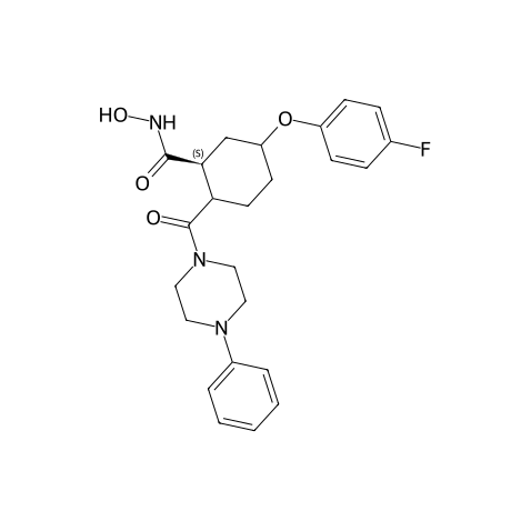 O=C(NO)[C@H]1CC(Oc2ccc(F)cc2)CCC1C(=O)N1CCN(c2ccccc2)CC1